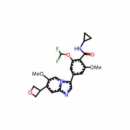 COc1cn2c(-c3cc(OC)c(C(=O)NC4CC4)c(OC(F)F)c3)cnc2cc1C1COC1